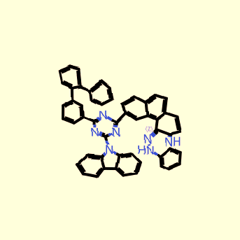 N=C1C=Cc2ccc3ccc(-c4nc(-c5cccc(-c6ccccc6-c6ccccc6)c5)nc(-n5c6ccccc6c6ccccc65)n4)cc3c2/C1=N/Nc1ccccc1